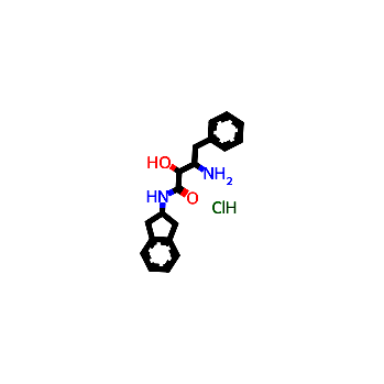 Cl.NC(Cc1ccccc1)C(O)C(=O)NC1Cc2ccccc2C1